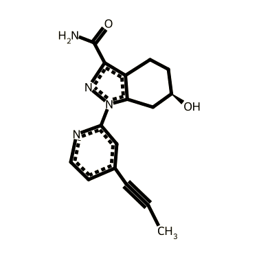 CC#Cc1ccnc(-n2nc(C(N)=O)c3c2C[C@H](O)CC3)c1